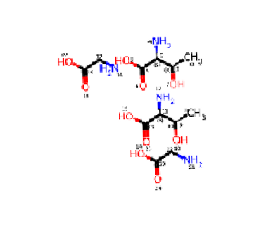 C[C@@H](O)[C@H](N)C(=O)O.C[C@@H](O)[C@H](N)C(=O)O.NCC(=O)O.NCC(=O)O